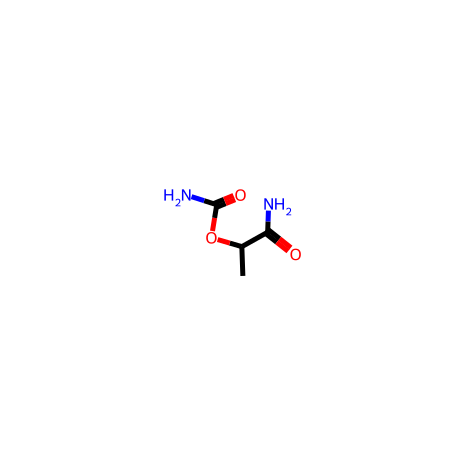 CC(OC(N)=O)C(N)=O